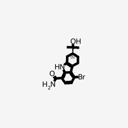 CC(C)(O)[C@H]1CCc2c([nH]c3c(C(N)=O)ccc(Br)c23)C1